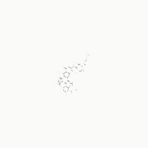 COC(=O)c1c(C)cc2c(c1O)[C@]1(O)C(=O)c3cc4c(c(O)c3C(=O)[C@]1(OC)[C@H](O)C2)C(=O)C=C(N[C@H]1O[C@@H](C)[C@H](OC)/C(=N/OCCN)[C@H]1OC)C4=O